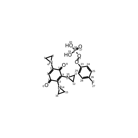 O=C1C=C(N2CC2)C(=O)C(N2CC2)=C1N1CC1.O=P(O)(O)OOc1ccc(F)cc1